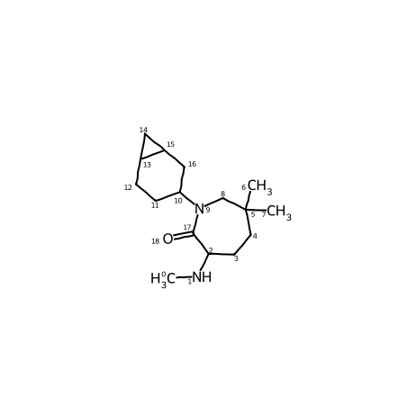 CNC1CCC(C)(C)CN(C2CCC3CC3C2)C1=O